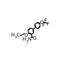 CCCOc1ccc(-c2ccc(OC(F)(F)F)cc2)cc1C(N)=O